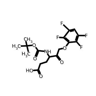 CC(C)(C)OC(=O)NC(CCC(=O)O)C(=O)COc1c(F)c(F)cc(F)c1F